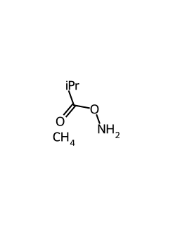 C.CC(C)C(=O)ON